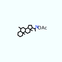 CC(=O)O/N=C(\C)C1CCC2C3CC(C)C4CCCCC4(C)C3CCC12C